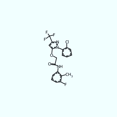 Cc1c(F)cccc1NC(=O)COc1cc(C(F)(F)F)nn1-c1ccccc1Cl